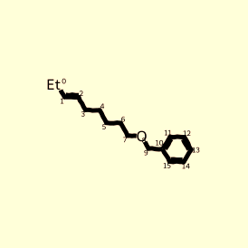 CCC=CCCCCCOCc1ccccc1